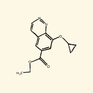 CCOC(=O)c1cc(OC2CC2)c2nnccc2c1